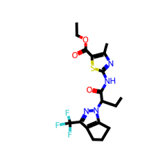 CCOC(=O)c1sc(NC(=O)C(CC)n2nc(C(F)(F)F)c3c2CCC3)nc1C